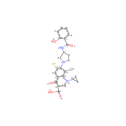 O=C(NC1CCN(c2c(F)cc3c(=O)c(C(=O)O)cn(C4CC4)c3c2Cl)C1)c1ccccc1O